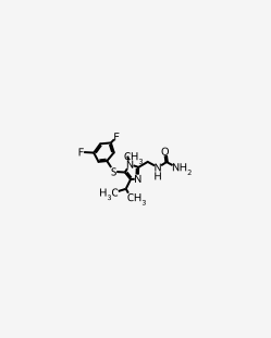 CC(C)c1nc(CNC(N)=O)n(C)c1Sc1cc(F)cc(F)c1